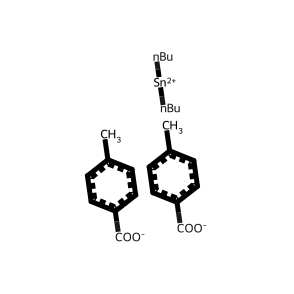 CCC[CH2][Sn+2][CH2]CCC.Cc1ccc(C(=O)[O-])cc1.Cc1ccc(C(=O)[O-])cc1